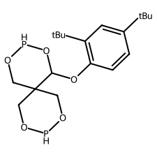 CC(C)(C)c1ccc(OC2OPOCC23COPOC3)c(C(C)(C)C)c1